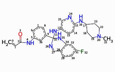 C=CC(=O)Nc1cccc(C2(Nc3ccc(NC4CCN(C)CC4)nc3)N=Cc3ccc(F)cc3N2)c1